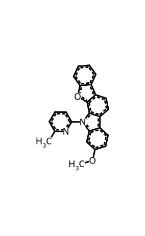 COc1ccc2c3ccc4c5ccccc5oc4c3n(-c3cccc(C)n3)c2c1